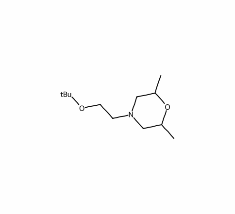 CC1CN(CCOC(C)(C)C)CC(C)O1